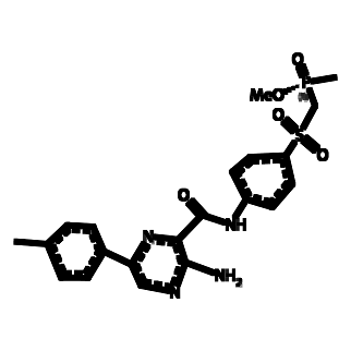 CO[P@@](C)(=O)CS(=O)(=O)c1ccc(NC(=O)c2nc(-c3ccc(C)cc3)cnc2N)cc1